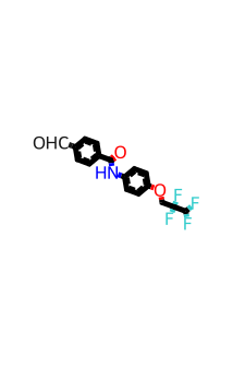 O=Cc1ccc(C(=O)Nc2ccc(OCC(F)(F)C(F)F)cc2)cc1